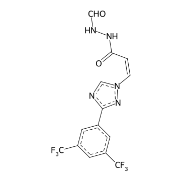 O=CNNC(=O)/C=C\n1cnc(-c2cc(C(F)(F)F)cc(C(F)(F)F)c2)n1